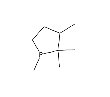 CC1CCP(C)C1(C)C